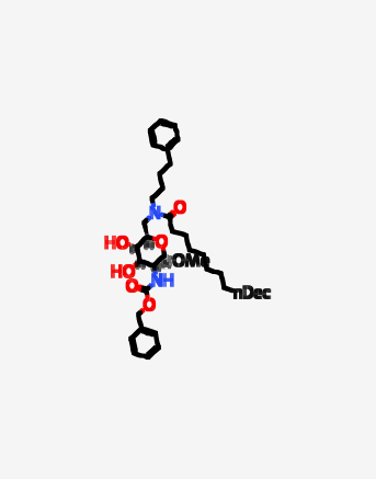 CCCCCCCCCCCCCCCCCC(=O)N(CCCCc1ccccc1)C[C@H]1O[C@H](OC)[C@@H](NC(=O)OCc2ccccc2)[C@@H](O)[C@@H]1O